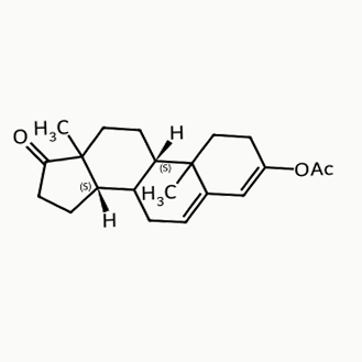 CC(=O)OC1=CC2=CCC3[C@@H]4CCC(=O)C4(C)CC[C@@H]3C2(C)CC1